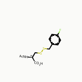 CC(=O)N[C@@H](CSSCc1ccc(F)cc1)C(=O)O